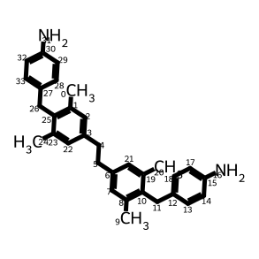 Cc1cc(CCc2cc(C)c(Cc3ccc(N)cc3)c(C)c2)cc(C)c1Cc1ccc(N)cc1